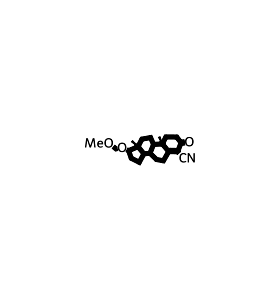 COCOC1CCC2C3CCC4=C(C#N)C(=O)CC[C@@]4(C)C3CC[C@@]12C